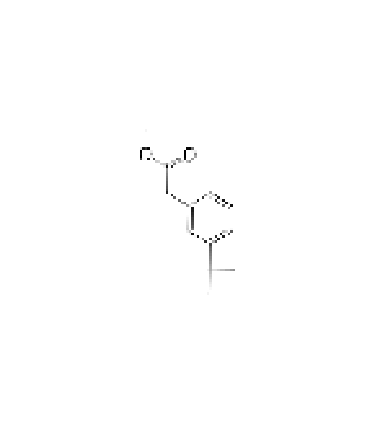 COC(=O)Cc1cccc(C(C)(C)C)c1